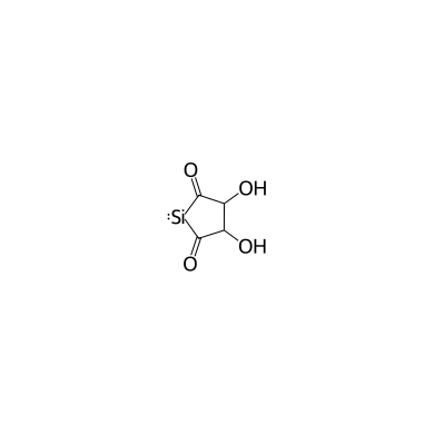 O=C1[Si]C(=O)C(O)C1O